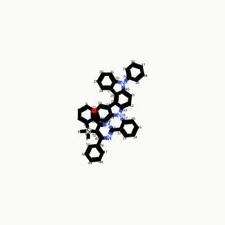 C[Si]1(C)c2ccccc2-c2nc(-c3ccccc3-n3c4ccccc4c4c5c6ccccc6n(-c6ccccc6)c5ccc43)nc(-c3ccccc3)c21